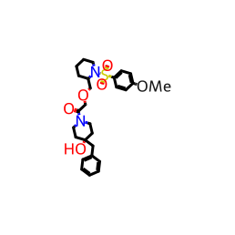 COc1ccc(S(=O)(=O)N2CCCCC2COCC(=O)N2CCC(O)(Cc3ccccc3)CC2)cc1